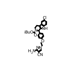 CC(C)COC(=O)N1CCc2c([nH]c3ccc(Cl)cc23)C1c1ccc(OCCn2cc(C#N)c(N)n2)cc1